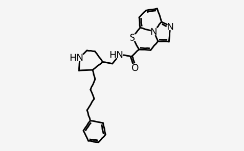 O=C(NCC1CCNCC1CCCCc1ccccc1)C1=Cc2cnc3cccc(n23)S1